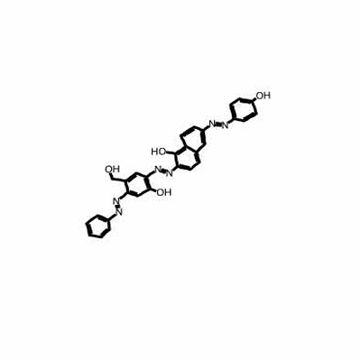 OCc1cc(N=Nc2ccc3cc(N=Nc4ccc(O)cc4)ccc3c2O)c(O)cc1N=Nc1ccccc1